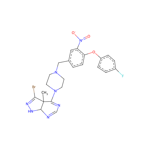 CC12C(Br)=NNC1N=CN=C2N1CCN(Cc2ccc(Oc3ccc(F)cc3)c([N+](=O)[O-])c2)CC1